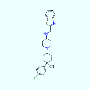 N#CC1(c2ccc(F)cc2)CCC(N2CCC(NCc3nc4ccccc4s3)CC2)CC1